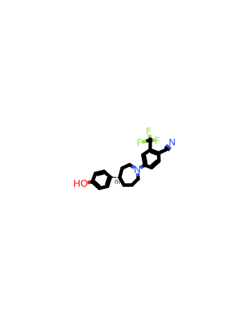 N#Cc1ccc(N2CCC[C@H](c3ccc(O)cc3)CC2)cc1C(F)(F)F